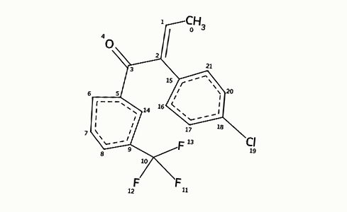 C/C=C(/C(=O)c1cccc(C(F)(F)F)c1)c1ccc(Cl)cc1